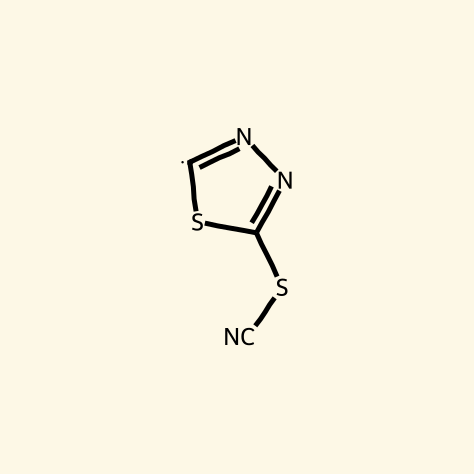 N#CSc1nn[c]s1